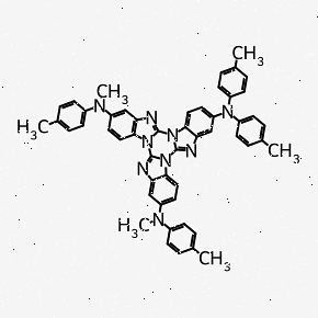 Cc1ccc(N(C)c2ccc3c(c2)nc2n3c3nc4cc(N(C)c5ccc(C)cc5)ccc4n3c3nc4cc(N(c5ccc(C)cc5)c5ccc(C)cc5)ccc4n23)cc1